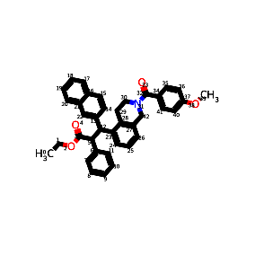 CCOC(=O)C(c1ccccc1)C(c1ccc2ccccc2c1)c1cccc2c1CCN(C(=O)c1ccc(OC)cc1)C2